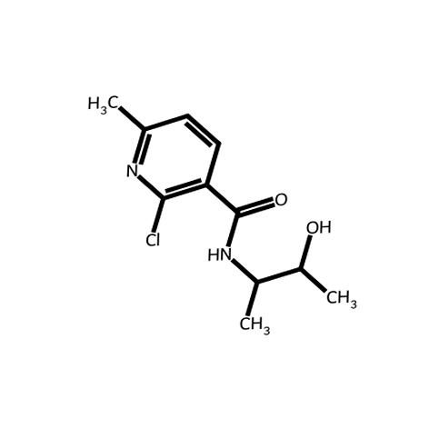 Cc1ccc(C(=O)NC(C)C(C)O)c(Cl)n1